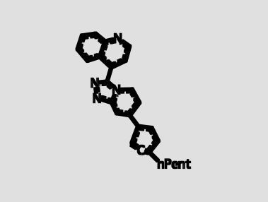 CCCCCc1ccc(-c2ccn3c(-c4ccnc5ccccc45)nnc3c2)cc1